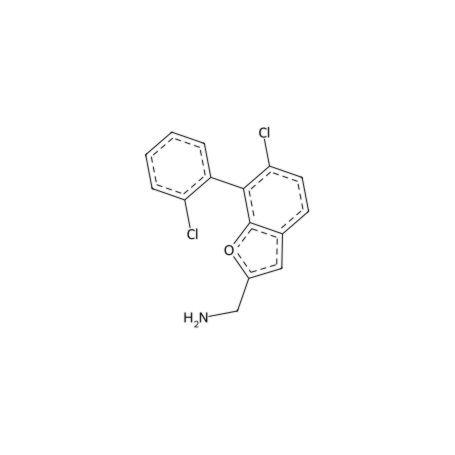 NCc1cc2ccc(Cl)c(-c3ccccc3Cl)c2o1